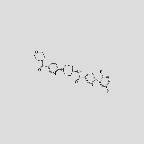 O=C(NC1CCN(c2ccc(C(=O)N3CCOCC3)cn2)CC1)c1cnc(-c2cc(F)ccc2F)nc1